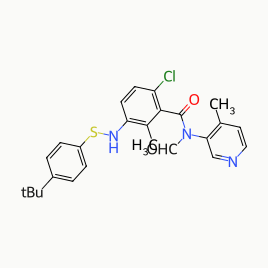 Cc1ccncc1N(C=O)C(=O)c1c(Cl)ccc(NSc2ccc(C(C)(C)C)cc2)c1C